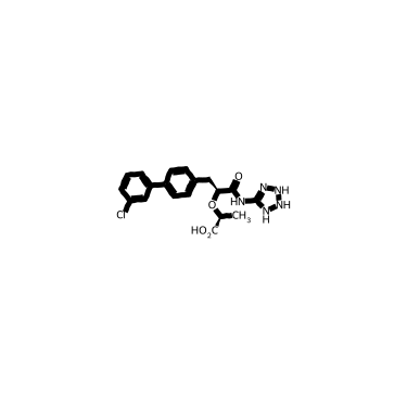 C[C@H](O[C@@H](Cc1ccc(-c2cccc(Cl)c2)cc1)C(=O)NC1=NNNN1)C(=O)O